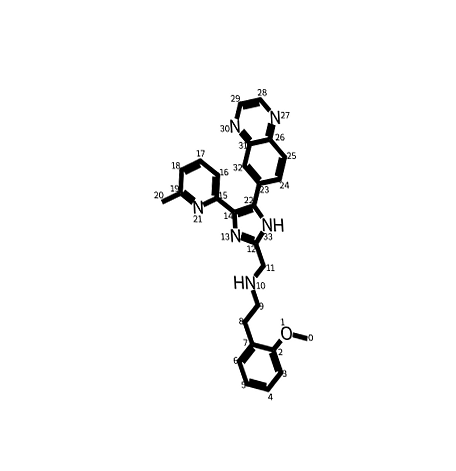 COc1ccccc1CCNCc1nc(-c2cccc(C)n2)c(-c2ccc3nccnc3c2)[nH]1